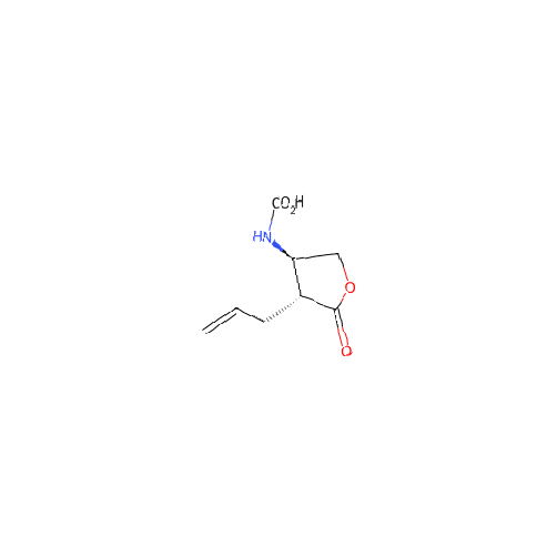 C=CC[C@H]1C(=O)OC[C@@H]1NC(=O)O